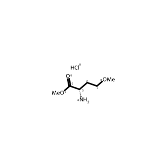 COCC[C@H](N)C(=O)OC.Cl